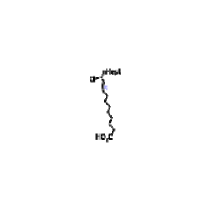 CCCCCCCC(Cl)/C=C/CCCCCCCC(=O)O